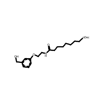 CCCCCCCCCCCCCCCCCC(=O)NCCOc1cccc(CO)c1